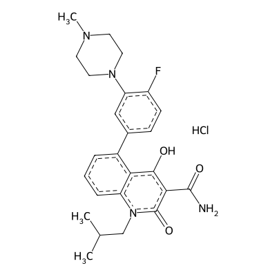 CC(C)Cn1c(=O)c(C(N)=O)c(O)c2c(-c3ccc(F)c(N4CCN(C)CC4)c3)cccc21.Cl